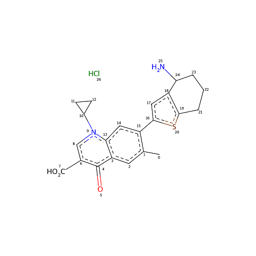 Cc1cc2c(=O)c(C(=O)O)cn(C3CC3)c2cc1-c1cc2c(s1)CCCC2N.Cl